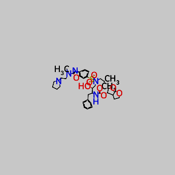 CC(C)CN(CC(O)C(Cc1ccccc1)NC(=O)OC1COC2OCCC12)S(=O)(=O)c1ccc2nc(N(C)CCN3CCCC3)oc2c1